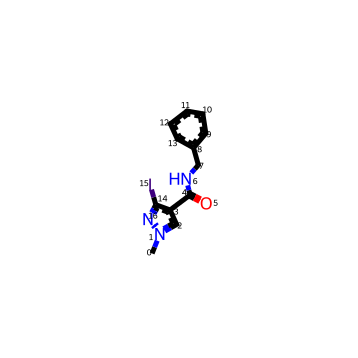 Cn1cc(C(=O)NCc2ccccc2)c(I)n1